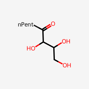 CCCCCC(=O)C(O)C(O)CO